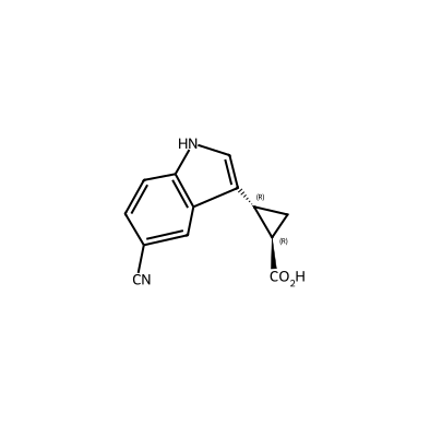 N#Cc1ccc2[nH]cc([C@@H]3C[C@H]3C(=O)O)c2c1